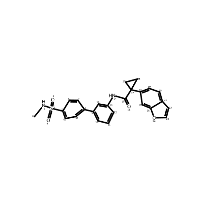 CNS(=O)(=O)c1ccc(-c2cccc(NC(=O)C3(c4ccc5ccoc5c4)CC3)c2)cc1